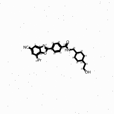 CC(C)c1cc(C#N)cc2nc(-c3ccc(C(=O)NCC4CCC(CCO)CC4)cc3)oc12